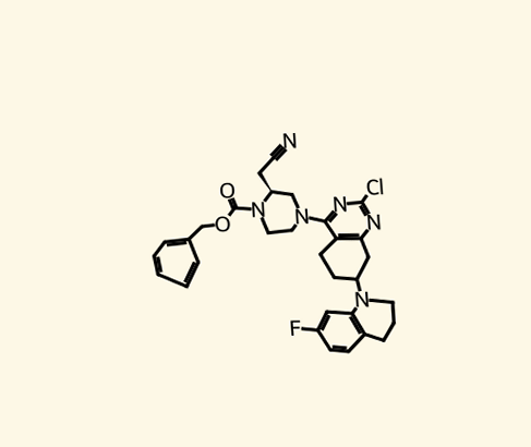 N#CC[C@H]1CN(c2nc(Cl)nc3c2CCC(N2CCCc4ccc(F)cc42)C3)CCN1C(=O)OCc1ccccc1